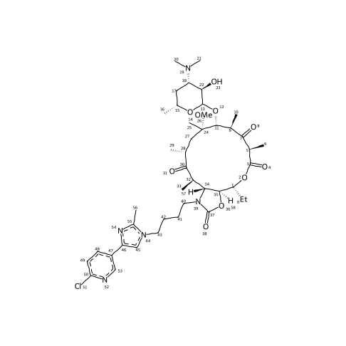 CC[C@H]1OC(=O)[C@H](C)C(=O)[C@H](C)[C@@H](OC2O[C@H](C)C[C@H](N(C)C)[C@H]2O)[C@@](C)(OC)C[C@@H](C)C(=O)[C@H](C)[C@@H]2[C@@H]1OC(=O)N2CCCCn1cc(-c2ccc(Cl)nc2)nc1C